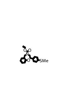 C=COC(=O)N1Cc2ccccc2OC(c2ccc(SC)cc2)C1